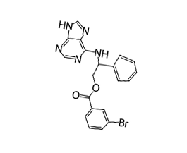 O=C(OCC(Nc1ncnc2[nH]cnc12)c1ccccc1)c1cccc(Br)c1